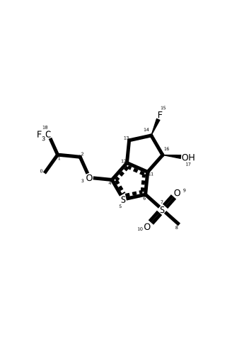 CC(COc1sc(S(C)(=O)=O)c2c1C[C@@H](F)[C@H]2O)C(F)(F)F